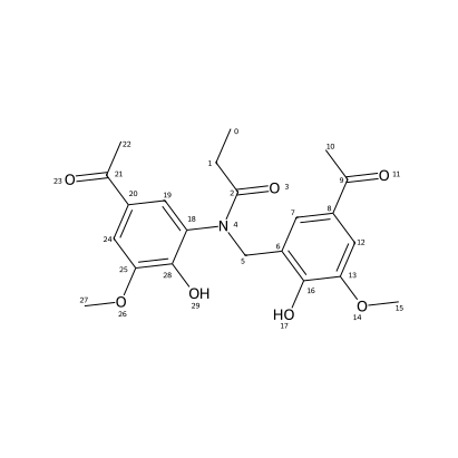 CCC(=O)N(Cc1cc(C(C)=O)cc(OC)c1O)c1cc(C(C)=O)cc(OC)c1O